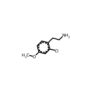 COc1ccc(CCN)c(Cl)c1